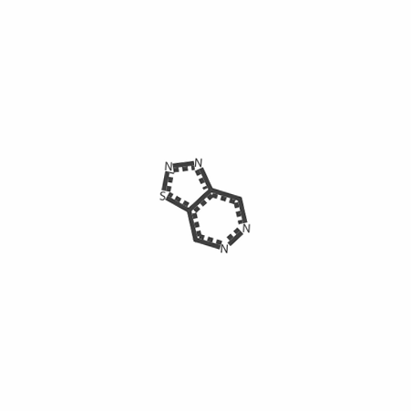 c1nncc2snnc12